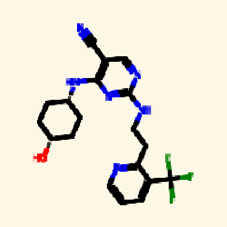 N#Cc1cnc(NCCc2ncccc2C(F)(F)F)nc1N[C@H]1CC[C@@H](O)CC1